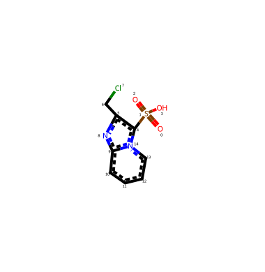 O=S(=O)(O)c1c(CCl)nc2ccccn12